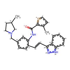 Cc1ccsc1C(=O)Nc1cc(CN2CCC(C)C2)ccc1/C=C/c1n[nH]c2ccccc12